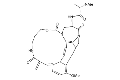 C=C1/C=C2/C=CC(OC)=C3CN4C(=O)[C@@H](NC(=O)[C@H](C)NC)CN(C(=O)CCCCNC1=O)C(=C4C)/C=C\C32